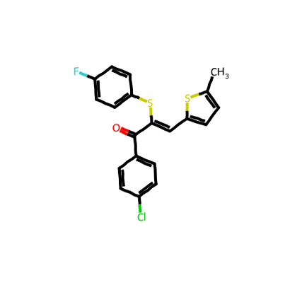 Cc1ccc(C=C(Sc2ccc(F)cc2)C(=O)c2ccc(Cl)cc2)s1